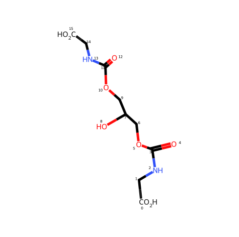 O=C(O)CNC(=O)OCC(O)COC(=O)NCC(=O)O